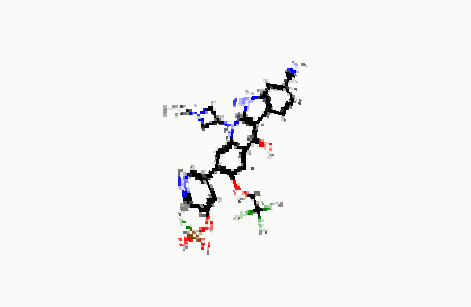 CN1CC(n2c3cc(-c4cncc(OS(=O)(=O)F)c4)c(OCC(F)(F)F)cc3c(=O)c3c4ccc(C#N)cc4[nH]c32)C1